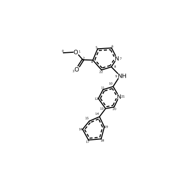 COC(=O)c1ccnc(Nc2ccc(-c3ccccc3)cn2)c1